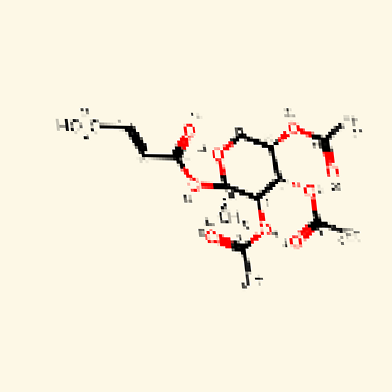 CCC(=O)O[C@@H]1[C@@H](OC(=O)CC)[C@@](C)(OC(=O)/C=C/C(=O)O)OC[C@H]1OC(=O)CC